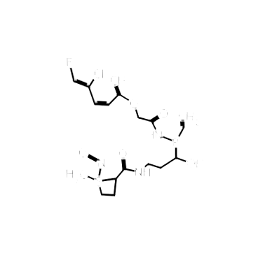 C=CP(NC(=O)COC(=C)/C=C\C(Cl)=C\F)C(O)CCNC(=O)C1CCS1(C)N=O